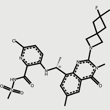 Cc1cc([C@@H](C)Nc2ccc(Cl)nc2C(=O)NS(C)(=O)=O)c2nc(N3CC4(C3)CC(F)(F)C4)n(C)c(=O)c2c1